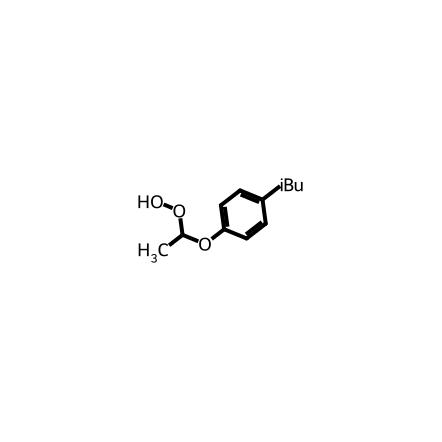 CCC(C)c1ccc(OC(C)OO)cc1